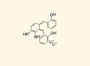 [Li+].[Li+].[NH-]c1ccc(=Cc2ccccc2O)c(=Cc2ccccc2O)c1[NH-]